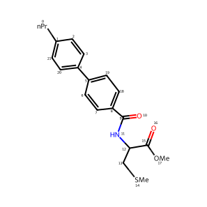 CCCc1ccc(-c2ccc(C(=O)NC(CSC)C(=O)OC)cc2)cc1